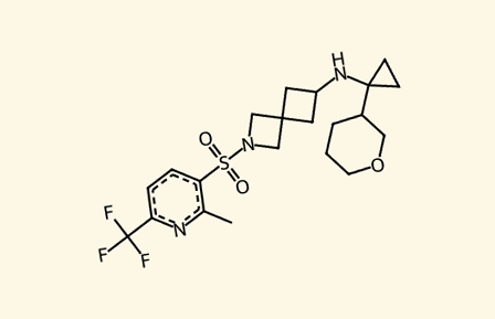 Cc1nc(C(F)(F)F)ccc1S(=O)(=O)N1CC2(CC(NC3(C4CCCOC4)CC3)C2)C1